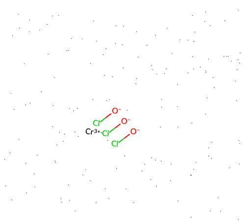 [Cr+3].[O-]Cl.[O-]Cl.[O-]Cl